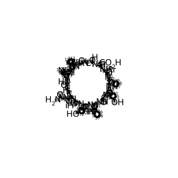 CCCC[C@H]1C(=O)N(C)CC(=O)N[C@@H](CC(=O)O)C(=O)N[C@@H](C(C)C)C(=O)N(C)[C@@H](Cc2ccccc2)C(=O)N[C@@H](Cc2ccc(O)cc2)C(=O)N(C)CC(=O)N[C@@H](Cc2c[nH]c3ccccc23)C(=O)N[C@@H](Cc2ccc(O)cc2)C(=O)N[C@@H](CC(C)C)C(=O)N[C@H](C(=O)NCC(N)=O)CSCC(=O)N[C@@H](Cc2cnc[nH]2)C(=O)N(C)[C@@H](Cc2ccccc2)C(=O)N1C